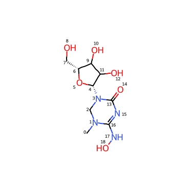 CN1CN([C@@H]2O[C@H](CO)C(O)C2O)C(=O)N=C1NO